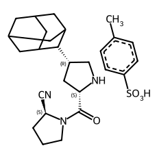 Cc1ccc(S(=O)(=O)O)cc1.N#C[C@@H]1CCCN1C(=O)[C@@H]1C[C@H](C2C3CC4CC(C3)CC2C4)CN1